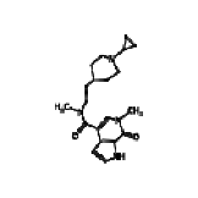 CN(CCC1CCN(C2CC2)CC1)C(=O)c1cn(C)c(=O)c2[nH]ccc12